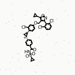 O=C(NS(=O)(=O)C1CC1)c1ccc([C@@H]2C[C@H]2c2ccc(OCc3c(-c4c(Cl)cccc4Cl)noc3C3CC3)cc2Cl)cc1